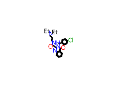 CCN(CC)CCCNC(=O)c1nc2ccccc2c(=O)n1Cc1ccc(Cl)cc1